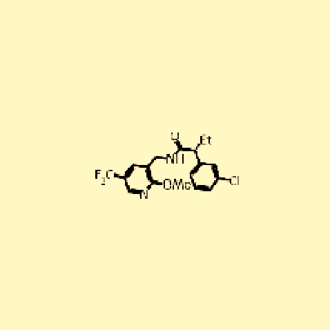 CC[C@H](C(=O)NCc1cc(C(F)(F)F)cnc1OC)c1cccc(Cl)c1